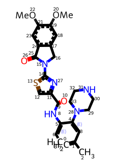 C=C(C)/C=C(\C(=C/C)NC(=O)c1csc(N2Cc3cc(OC)c(OC)cc3C2=O)n1)N1CCNCC1